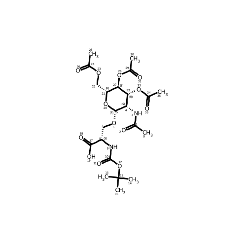 CC(=O)N[C@@H]1[C@H](OC[C@H](NC(=O)OC(C)(C)C)C(=O)O)O[C@H](COC(C)=O)[C@@H](OC(C)=O)[C@@H]1OC(C)=O